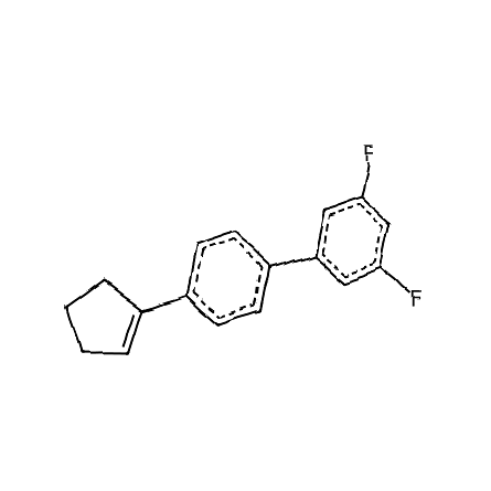 Fc1cc(F)cc(-c2ccc(C3=CCCC3)cc2)c1